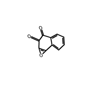 O=c1c2oc=2c2ccccc2c1=O